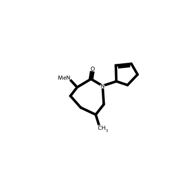 CNC1CCC(C)CN(C2C=CCC2)C1=O